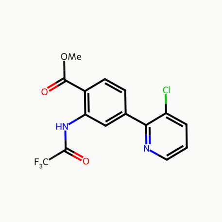 COC(=O)c1ccc(-c2ncccc2Cl)cc1NC(=O)C(F)(F)F